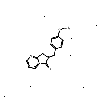 COc1ccc(CN2Cc3ncccc3C2=O)cc1